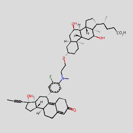 CC#C[C@]1(O)CC[C@H]2[C@@H]3CCC4=CC(=O)CCC4=C3[C@@H](c3ccc(N(C)CCO[C@H]4CC[C@@]5(C)[C@@H](C4)C[C@@H](O)[C@@H]4[C@@H]5C[C@H](O)[C@]5(C)[C@@H]([C@H](C)CCC(=O)O)CC[C@@H]45)c(F)c3)C[C@@]21C